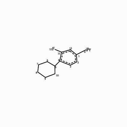 CC(C)c1ccc(C2CCCCC2)c(F)c1